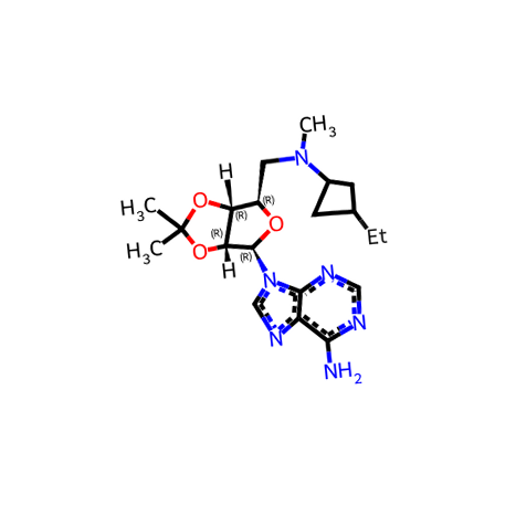 CCC1CC(N(C)C[C@H]2O[C@@H](n3cnc4c(N)ncnc43)[C@@H]3OC(C)(C)O[C@@H]32)C1